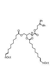 CCCCCCCCC=CCCCCCCCC(=O)OCC(CNC(=O)OCCN(C(C)C)C(C)C)OC(=O)CCCCCCCC=CCCCCCCCC